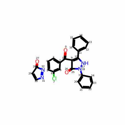 O=C(c1cccc(Cl)c1)c1c(-c2ccccc2)[nH]n(-c2ccccc2)c1=O.O=C1C=CN=N1